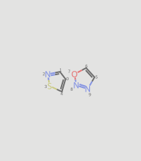 c1cnsc1.c1conn1